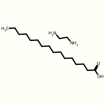 CCCCCCCCCCCCCCCC(=O)O.NCCN